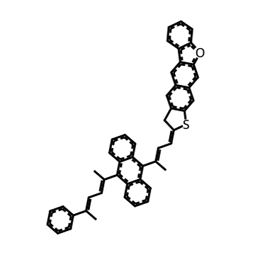 C/C(=C\C=C(/C)c1c2ccccc2c(/C(C)=C/C=C2\Cc3cc4cc5c(cc4cc3S2)oc2ccccc25)c2ccccc12)c1ccccc1